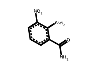 NC(=O)c1cccc([N+](=O)[O-])c1[AsH2]